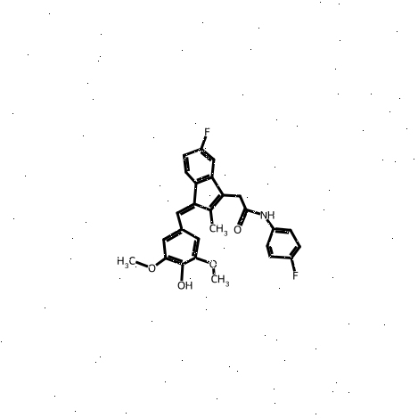 COc1cc(C=C2C(C)=C(CC(=O)Nc3ccc(F)cc3)c3cc(F)ccc32)cc(OC)c1O